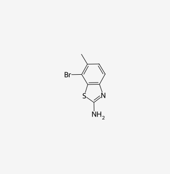 Cc1ccc2nc(N)sc2c1Br